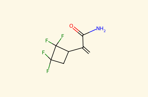 C=C(C(N)=O)C1CC(F)(F)C1(F)F